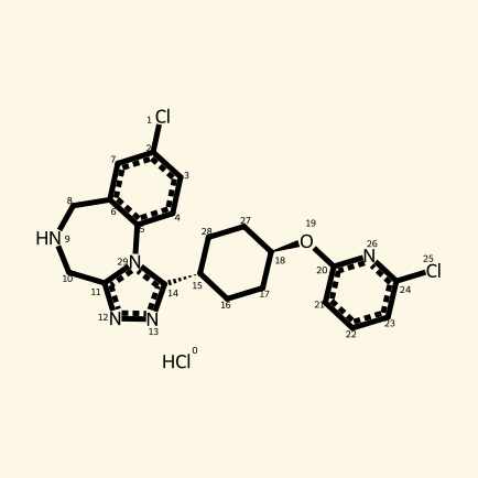 Cl.Clc1ccc2c(c1)CNCc1nnc([C@H]3CC[C@H](Oc4cccc(Cl)n4)CC3)n1-2